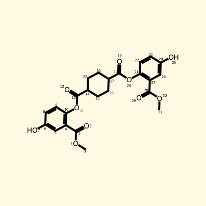 COC(=O)c1cc(O)ccc1OC(=O)C1CCC(C(=O)Oc2ccc(O)cc2C(=O)OC)CC1